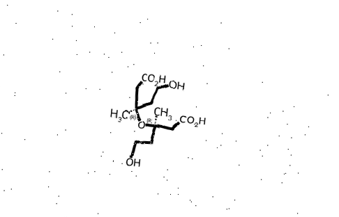 C[C@@](CCO)(CC(=O)O)O[C@](C)(CCO)CC(=O)O